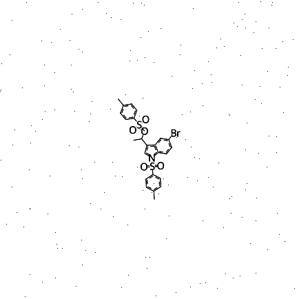 Cc1ccc(S(=O)(=O)OC(C)c2cn(S(=O)(=O)c3ccc(C)cc3)c3ccc(Br)cc23)cc1